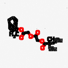 CC(C)(C)CC(C)(C(=O)OCC(=O)OCC(=O)OC1(C)C2CC3CC(C2)CC1C3)C(C)(C)C